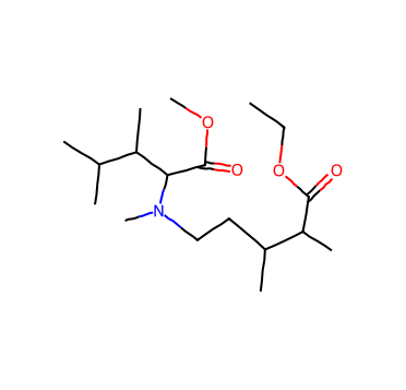 CCOC(=O)C(C)C(C)CCN(C)C(C(=O)OC)C(C)C(C)C